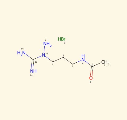 Br.CC(=O)NCCCN(N)C(=N)N